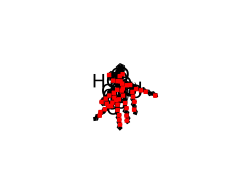 CCCCCCCCCCC[C@H](CC(=O)N[C@H]1[C@H](OC[C@H](NC(=O)C[C@@H](CCCCCCCCCCC)OC(=O)CCCCCCCCC)C(=O)OCc2ccccc2)O[C@H](CO)[C@@H](OP(=O)(Oc2ccccc2)Oc2ccccc2)[C@@H]1OC(=O)C[C@@H](CCCCCCCCCCC)OC(=O)CCCCCCCCC)OC(=O)CCCCCCCCC